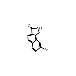 O=C1NCc2c1ccc1ccc(Br)cc21